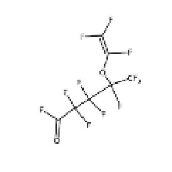 O=C(F)C(F)(F)C(F)(F)C(F)(OC(F)=C(F)F)C(F)(F)F